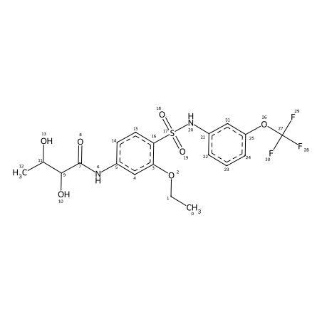 CCOc1cc(NC(=O)C(O)C(C)O)ccc1S(=O)(=O)Nc1cccc(OC(F)(F)F)c1